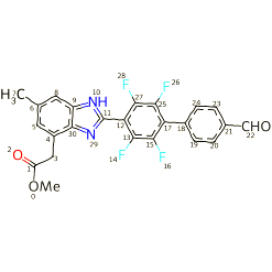 COC(=O)Cc1cc(C)cc2[nH]c(-c3c(F)c(F)c(-c4ccc(C=O)cc4)c(F)c3F)nc12